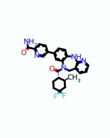 C[C@H]1CC(F)(F)CC[C@@H]1C(=O)N1Cc2cccnc2Nc2ccc(-c3ccc(C(N)=O)nc3)cc21